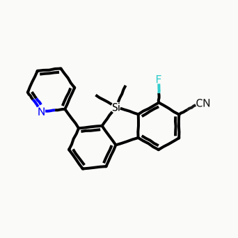 C[Si]1(C)c2c(-c3ccccn3)cccc2-c2ccc(C#N)c(F)c21